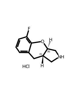 Cl.Fc1cccc2c1O[C@H]1CNC[C@@H]1C2